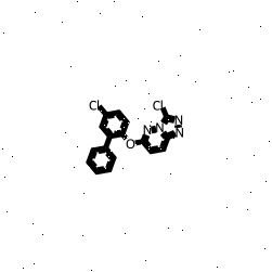 Clc1ccc(Oc2ccc3nnc(Cl)n3n2)c(-c2ccccc2)c1